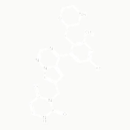 Cc1cc(Cl)cc(-c2ncnn3cc(Cn4c(=O)cc[nH]c4=O)cc23)c1CC1CNCCO1